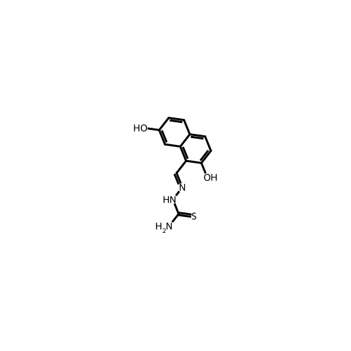 NC(=S)N/N=C/c1c(O)ccc2ccc(O)cc12